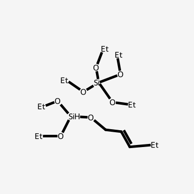 CCC=CCO[SiH](OCC)OCC.CCO[Si](OCC)(OCC)OCC